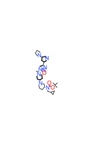 CC(n1cc(-c2cncc(N3CCCC3)c2)nn1)n1ccc(N2CCC[C@@H](N(CC3CC3)C(=O)OC(C)(C)C)C2)cc1=O